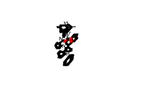 CC1C[C@H]2C[C@@H](C)CC(c3nc(-c4ccccc4)nc(-c4ccccc4N4c5c(ccc6c5c5ccccc5n6-c5ccccc5)C5C=CC=CC54)n3)(C1)C2